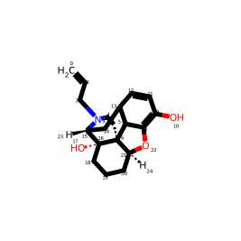 C=CCN1CC[C@@]23C4C5=C(O)C=CC4C[C@@H]1[C@]2(O)CCC[C@@H]3O5